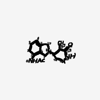 CC(=O)Nc1cccc2c1CN(c1cn[nH]c(=O)c1C)C2